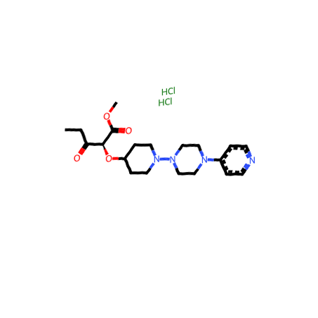 CCC(=O)[C@H](OC1CCN(N2CCN(c3ccncc3)CC2)CC1)C(=O)OC.Cl.Cl